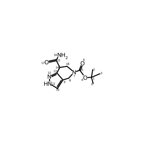 CC(C)(C)OC(=O)N1Cc2c[nH]nc2C(C(N)=O)C1